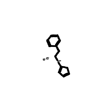 C1=CC[C]([Ti+2][CH2]Cc2ccccc2)=C1.[Cl-].[Cl-]